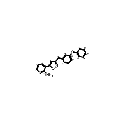 Nc1ncccc1-c1cc(Cc2cccc(Oc3ccccc3)c2)no1